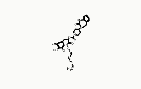 CN=C=C=NC=C=C=NC(=O)[C@@H](Cc1cc(Cl)c(O)c(Cl)c1)OC(=O)N1CCC(N2CCc3ccccc3NC2=O)CC1